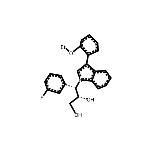 CCOc1ccccc1-c1cn([C@@H](c2cccc(F)c2)[C@H](O)CO)c2ccccc12